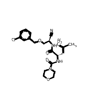 CC(C)C[C@H](NC(=O)N1CCOCC1)C(=O)N[C@H](C#N)COCc1cccc(Cl)c1